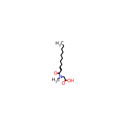 CCCCCCCCC=CC(=O)N(C)CC(=O)O